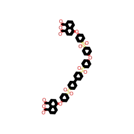 O=C1OC(=O)c2ccc(Oc3ccc(S(=O)(=O)c4ccc(Oc5ccc(S(=O)(=O)c6ccc(-c7ccc(S(=O)(=O)c8ccc(Oc9ccc%10c%11c(cccc9%11)C(=O)OC%10=O)cc8)cc7)cc6)cc5)cc4)cc3)c3cccc1c23